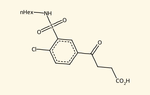 CCCCCCNS(=O)(=O)c1cc(C(=O)CCC(=O)O)ccc1Cl